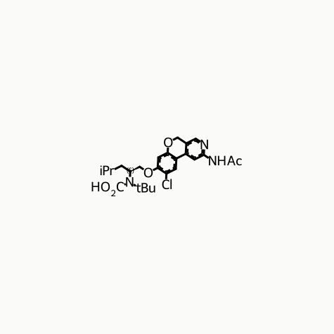 CC(=O)Nc1cc2c(cn1)COc1cc(OC[C@H](CC(C)C)N(C(=O)O)C(C)(C)C)c(Cl)cc1-2